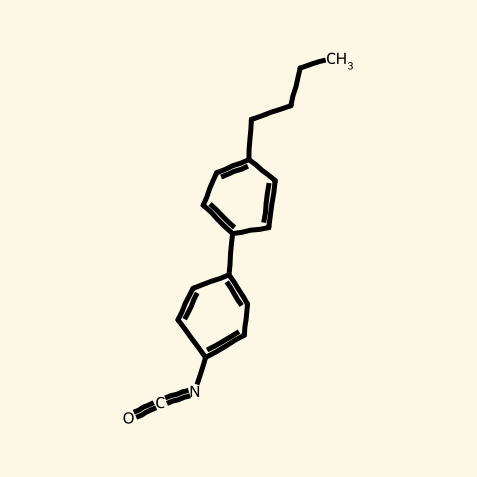 CCCCc1ccc(-c2ccc(N=C=O)cc2)cc1